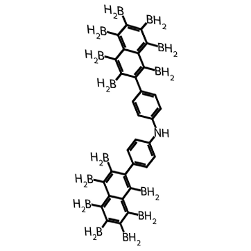 Bc1c(B)c(B)c2c(B)c(-c3ccc(Nc4ccc(-c5c(B)c(B)c6c(B)c(B)c(B)c(B)c6c5B)cc4)cc3)c(B)c(B)c2c1B